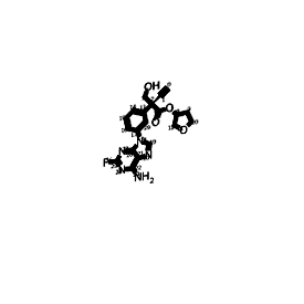 C#C[C@@](CO)(C(=O)OC1CCOC1)c1cccc(-n2cnc3c(N)nc(F)nc32)c1